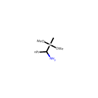 CCCC(N)[Si](C)(OC)OC